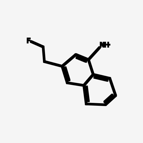 [NH]c1cc(CCF)cc2ccccc12